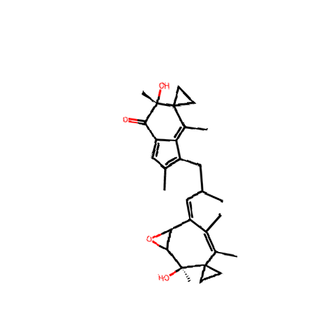 CC1=C(CC(C)/C=C2\C(C)=C(C)C3(CC3)[C@@](C)(O)C3OC23)C2=C(C)C3(CC3)[C@@](C)(O)C(=O)C2=C1